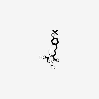 CC(C)(C)Oc1ccc(CCCC(NC(=O)O)C(N)=O)cc1